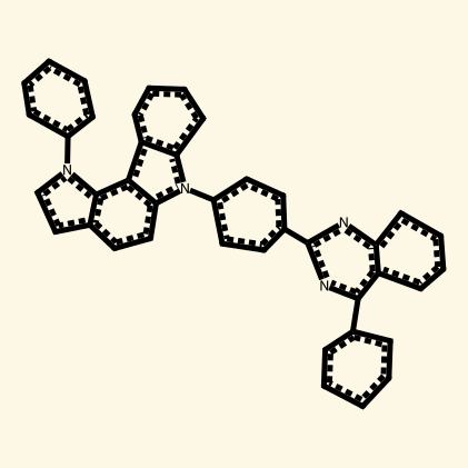 c1ccc(-c2nc(-c3ccc(-n4c5ccccc5c5c6c(ccc54)ccn6-c4ccccc4)cc3)nc3ccccc23)cc1